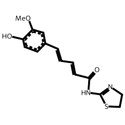 COc1cc(C=CC=CC(=O)NC2=NCCS2)ccc1O